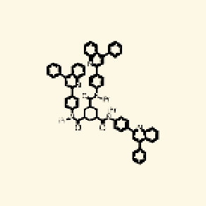 CC(C)N(C(=O)C1CC(C(=O)N(c2ccc(-c3cc(-c4ccccc4)c4ccccc4n3)cc2)C(C)C)CC(C(=O)N(c2ccc(-c3cc(-c4ccccc4)c4ccccc4n3)cc2)C(C)C)C1)c1ccc(-c2cc(-c3ccccc3)c3ccccc3n2)cc1